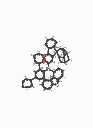 c1ccc(-c2ccc(N(c3ccc4c(c3)C3(c5ccccc5-4)C4CC5CC(C4)CC3C5)c3cccc4sc5ccccc5c34)c(-c3ccccc3)c2)cc1